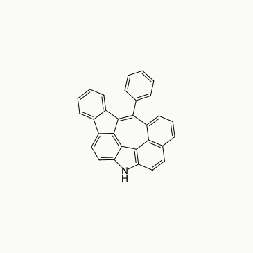 c1ccc(-c2c3c4ccccc4c4ccc5[nH]c6ccc7cccc2c7c6c5c4-3)cc1